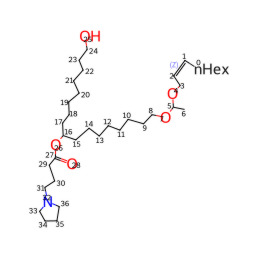 CCCCCC/C=C\COC(C)OCCCCCCCCC(CCCCCCCCO)OC(=O)CCCN1CCCC1